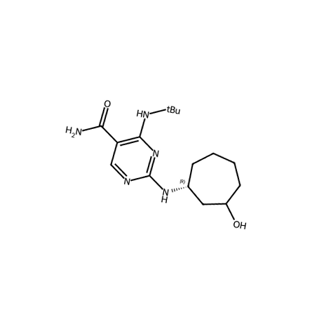 CC(C)(C)Nc1nc(N[C@@H]2CCCCC(O)C2)ncc1C(N)=O